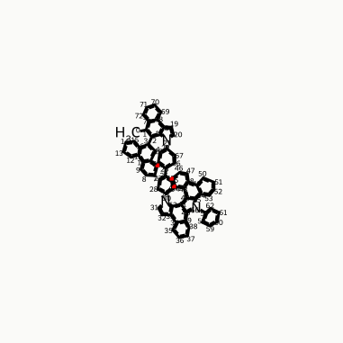 Cc1c(-c2cc3ccccc3c3ccccc23)c2c(ccn2-c2ccc(-c3ccc(-n4ccc5c6ccccc6c6c(c7c8ccccc8c8ccccc8c7n6-c6ccccc6)c54)cc3)cc2)c2ccccc12